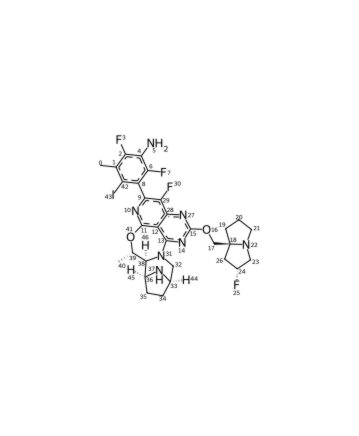 Cc1c(F)c(N)c(F)c(-c2nc3c4c(nc(OC[C@@]56CCCN5C[C@H](F)C6)nc4c2F)N2C[C@H]4CC[C@H](N4)[C@H]2[C@H](C)O3)c1I